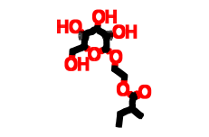 CCC(C)C(=O)OCCOC1OC(CO)[C@H](O)C(O)[C@H]1O